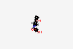 OC[C@H](c1ccc(O)cc1)N1C[C@@H]2C[C@](O)(Cc3ccccc3)C[C@@H]2C1